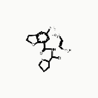 CCC(NC(=O)c1cc(N)cc2c1OCC2)C1CCCN1.O=C(O)C=CC(=O)O